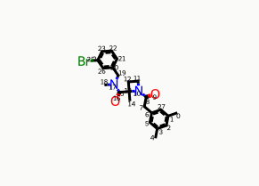 Cc1cc(C)cc(CC(=O)N2CCC2(C)C(=O)N(C)Cc2cccc(Br)c2)c1